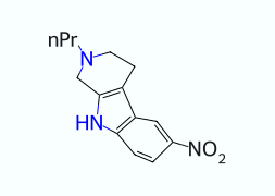 CCCN1CCc2c([nH]c3ccc([N+](=O)[O-])cc23)C1